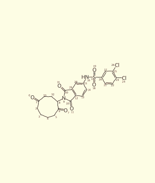 O=C1CCCCC(=O)C(N2C(=O)c3ccc(NS(=O)(=O)c4ccc(Cl)c(Cl)c4)cc3C2=O)CC1